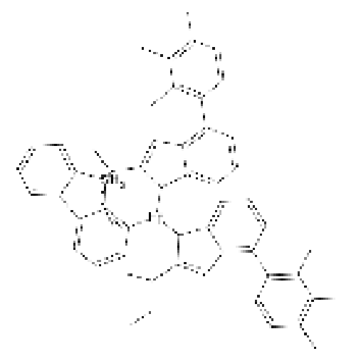 CCC(C)C1=Cc2c(-c3ccc(C)c(C)c3C)cccc2[CH]1[Hf]([c]1cccc2c1[SiH2]c1ccccc1-2)[CH]1C(C(C)CC)=Cc2c(-c3ccc(C)c(C)c3C)cccc21